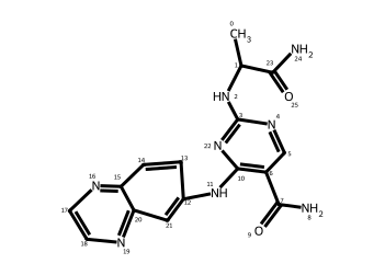 CC(Nc1ncc(C(N)=O)c(Nc2ccc3nccnc3c2)n1)C(N)=O